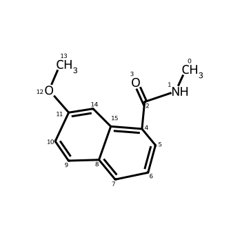 CNC(=O)c1cccc2ccc(OC)cc12